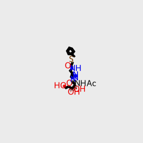 CC(=O)NC1[C@@H](O)[C@H](O)C(CO)O[C@H]1n1cc(CNC(=O)CSCc2ccccc2)nn1